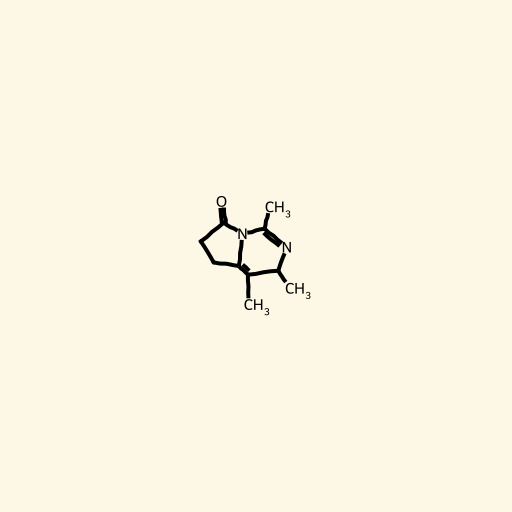 CC1=NC(C)C(C)=C2CCC(=O)N12